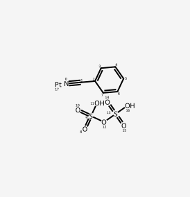 N#Cc1ccccc1.O=S(=O)(O)OS(=O)(=O)O.[Pt]